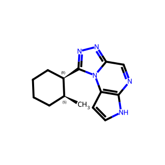 C[C@H]1CCCC[C@H]1c1nnc2cnc3[nH]ccc3n12